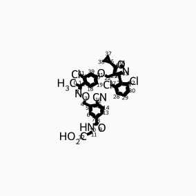 CC(=NOCc1cc(C(=O)NCC(=O)O)ccc1C#N)c1ccc(OCc2c(-c3c(Cl)cccc3Cl)noc2C2CC2)cc1Cl